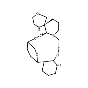 C1CNC2OCCN3CCC[C@@]4(COCCN4)[C@@H]3COC3CCC(CC3)C2C1